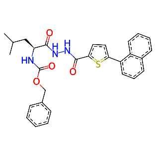 CC(C)C[C@H](NC(=O)OCc1ccccc1)C(=O)NNC(=O)c1ccc(-c2cccc3ccccc23)s1